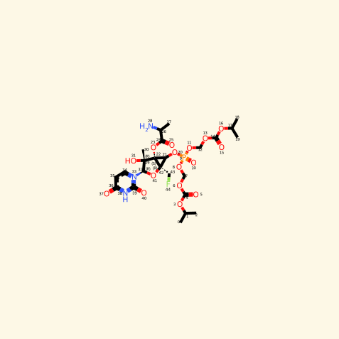 CC(C)OC(=O)OCOP(=O)(OCOC(=O)OC(C)C)OC1[C@]2(OC(=O)C(C)N)[C@@](C)(O)[C@H](n3ccc(=O)[nH]c3=O)O[C@]12CF